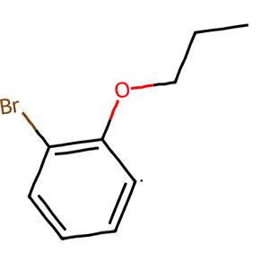 CCCOc1[c]cccc1Br